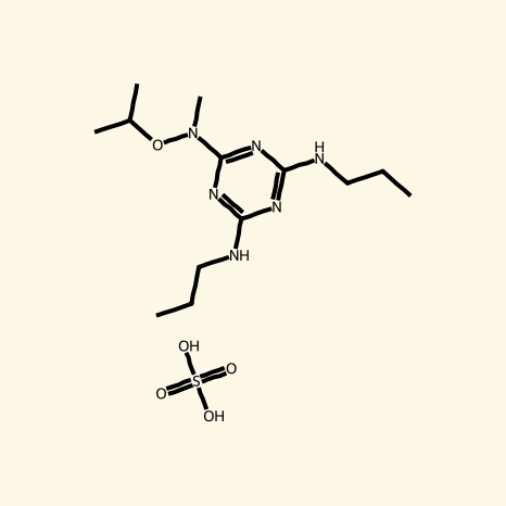 CCCNc1nc(NCCC)nc(N(C)OC(C)C)n1.O=S(=O)(O)O